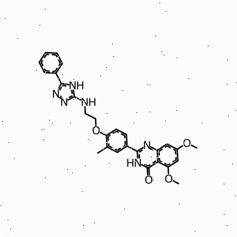 COc1cc(OC)c2c(=O)[nH]c(-c3ccc(OCCNc4nnc(-c5ccccc5)[nH]4)c(C)c3)nc2c1